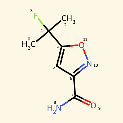 CC(C)(F)c1cc(C(N)=O)no1